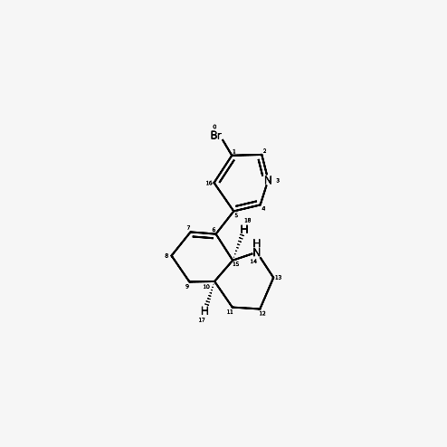 Brc1cncc(C2=CCC[C@@H]3CCCN[C@H]23)c1